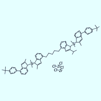 CC1=Cc2c(CCCCCc3cccc4c3C=C(C(C)C)C4[Si](C)(C)C3C(C)=Cc4c(-c5ccc(C(C)(C)C)cc5)cccc43)cccc2C1[Si](C)(C)C1C(C)=Cc2c(-c3ccc(C(C)(C)C)cc3)cccc21.[Cl][Zr][Cl].[Cl][Zr][Cl]